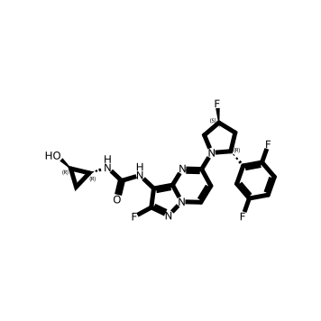 O=C(Nc1c(F)nn2ccc(N3C[C@@H](F)C[C@@H]3c3cc(F)ccc3F)nc12)N[C@@H]1C[C@H]1O